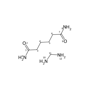 NC(=O)CCCCC(N)=O.NCN